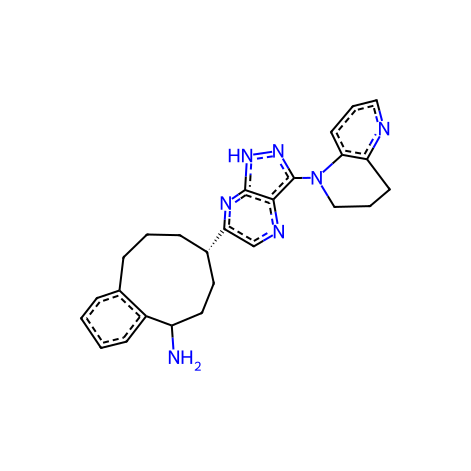 NC1CC[C@@H](c2cnc3c(N4CCCc5ncccc54)n[nH]c3n2)CCCc2ccccc21